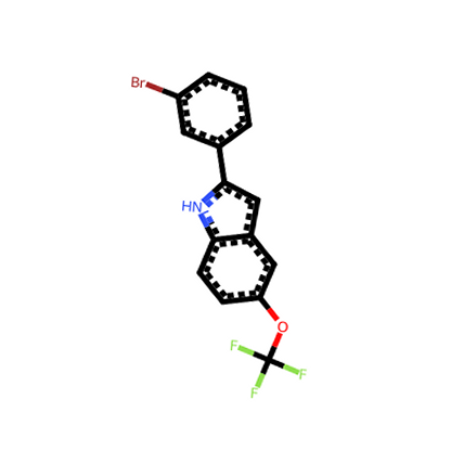 FC(F)(F)Oc1ccc2[nH]c(-c3cccc(Br)c3)cc2c1